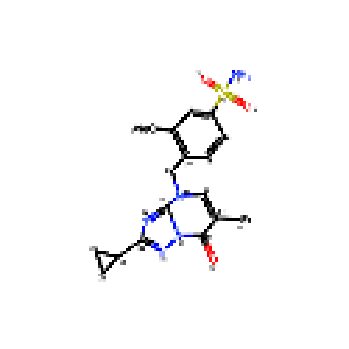 COc1cc(S(N)(=O)=O)ccc1Cn1cc(C(C)C)c(=O)n2nc(C3CC3)nc12